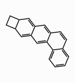 [c]1cc2cc3c(cc2c2ccccc12)=CC1CCC1C=3